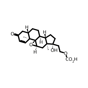 C[C@]12C=CC(=O)C[C@@H]1CC[C@H]1[C@@H]3CC[C@@](O)(CCOC(=O)O)[C@@]3(C)C[C@H]3O[C@]312